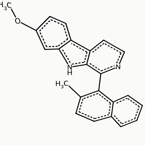 COc1ccc2c(c1)[nH]c1c(-c3c(C)ccc4ccccc34)nccc12